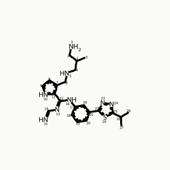 CC(CN)CNCc1cc[nH]c1/C(=N\C=N)Nc1cccc(-c2nnc(C(C)C)s2)c1